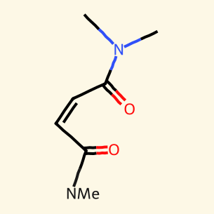 CNC(=O)/C=C\C(=O)N(C)C